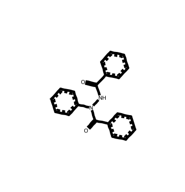 O=C(NN(C(=O)c1ccccc1)c1cc[c]cc1)c1ccccc1